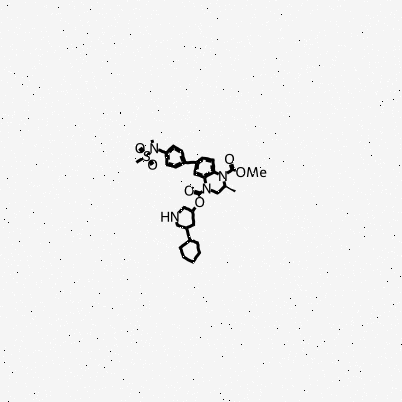 COC(=O)N1c2ccc(-c3ccc(N(C)S(C)(=O)=O)cc3)cc2N(C(=O)OC2CNCC(C3CCCCC3)C2)C[C@@H]1C